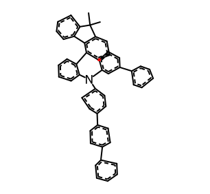 CC1(C)c2ccccc2-c2c(-c3ccccc3N(c3ccc(-c4ccc(-c5ccccc5)cc4)cc3)c3cccc(-c4ccccc4)c3)cccc21